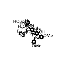 COc1ccc(CN(Cc2ccc(OC)cc2)c2cc(C)c(C(F)(F)F)c(-c3c(F)c4c5c(c3Cl)=NCNC=5N(C(C)c3cccnc3NC(=O)O)C=C(OC[C@@]35CCCN3C[C@H](F)C5)O4)c2F)cc1